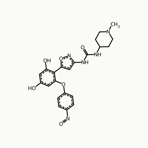 CN1CCC(NC(=O)Nc2cc(-c3c(O)cc(O)cc3Oc3ccc(N=O)cc3)on2)CC1